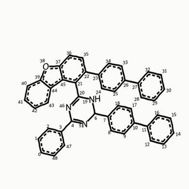 c1ccc(C2=NC(c3ccc(-c4ccccc4)cc3)NC(c3c(-c4ccc(-c5ccccc5)cc4)ccc4oc5ccccc5c34)=N2)cc1